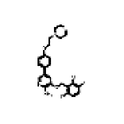 Nc1ncc(-c2ccc(OCCN3CCOCC3)cc2)cc1OCc1c(F)ccc(F)c1Cl